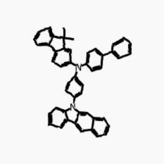 CC1(C)c2ccccc2-c2ccc(N(c3ccc(-c4ccccc4)cc3)c3ccc(-n4c5ccccc5c5cc6ccccc6cc54)cc3)cc21